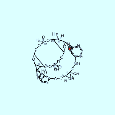 O=[P@]1(S)OCC2OC3[C@H](F)[C@@H]2O[P@](=O)(S)OCC2OC([C@H](F)[C@@H]2O1)n1cnc2c(ncnc21)NC[C@H](O)[C@@H](O)COc1ncnc2c1ncn23